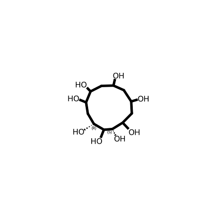 OC1CC(O)CC(O)[C@H](O)C(O)[C@H](O)CC(O)C(O)C1